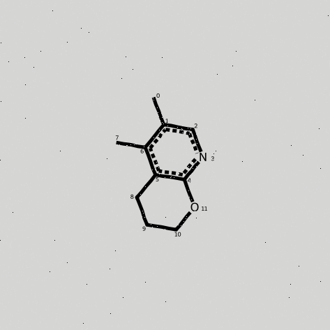 Cc1cnc2c(c1C)CCCO2